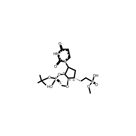 CO[C@@H]1[C@@H](CCP(=O)(O)OC)CC(n2ccc(=O)[nH]c2=O)[C@@H]1OP(O)(=S)OC(C)(C)C